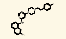 Oc1ccc2cccc(Nc3cc(N4CCN(CCc5ccc(F)cc5)CC4)ncn3)c2c1